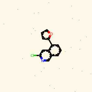 Clc1cc2c(-c3ccco3)cccc2cn1